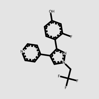 Oc1ccc(-c2nn(CC(F)(F)F)cc2-c2ccncc2)c(F)c1